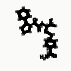 CN(C)[C@H](CNC(=O)[C@@H]1CCCN1c1ccccc1)SCc1ccc(C(N)=O)cc1